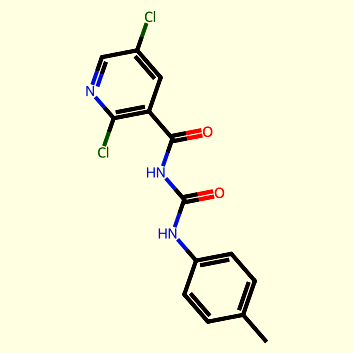 Cc1ccc(NC(=O)NC(=O)c2cc(Cl)cnc2Cl)cc1